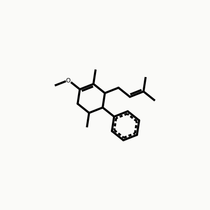 COC1=C(C)C(CC=C(C)C)C(c2ccccc2)C(C)C1